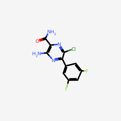 NC(=O)c1nc(Cl)c(-c2cc(F)cc(F)c2)nc1N